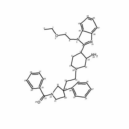 CCOCCn1c(C2CCN(CCC3(c4ccccc4)CCN(C(=O)c4ccccc4)C3)CC2N)nc2ccccc21